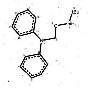 CC(C)(C)[SiH2]OCN(c1ccccc1)c1ccccc1